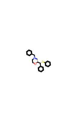 c1ccc(CN2CCO[C@@H]([C@H](Sc3ccccc3)c3ccccc3)C2)cc1